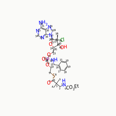 CCOC(=O)NCC(C)(C)C(=O)SCCO[P@](=O)(NCc1ccccc1)OC[C@H]1O[C@@H](n2cnc3c(N)ncnc32)[C@](C)(Cl)[C@@H]1O